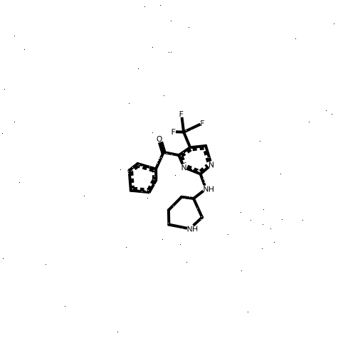 O=C(c1ccccc1)c1nc(NC2CCCNC2)ncc1C(F)(F)F